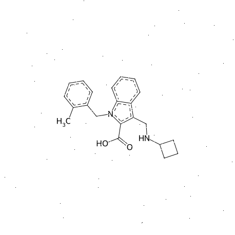 Cc1ccccc1Cn1c(C(=O)O)c(CNC2CCC2)c2ccccc21